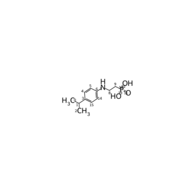 CC(C)c1ccc(NCCP(=O)(O)O)cc1